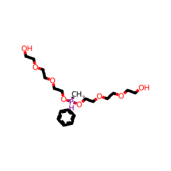 C[PH](OCCOCCOCCO)(OCCOCCOCCO)c1ccccc1